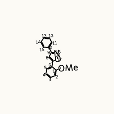 COc1ccccc1-c1cc(-c2ccccc2)no1